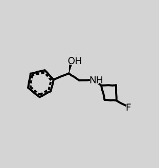 O[C@@H](CNC1CC(F)C1)c1ccccc1